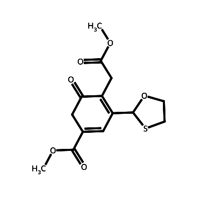 COC(=O)CC1=C(C2OCCS2)C=C(C(=O)OC)CC1=O